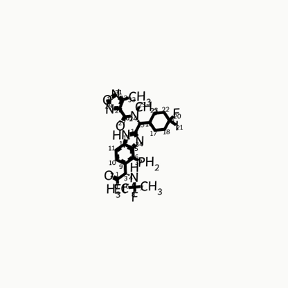 CCC(=O)[C@@H](NC(C)(C)F)c1ccc2[nH]c([C@H](C3CCC(F)(I)CC3)N(C)C(=O)c3nonc3C)nc2c1P